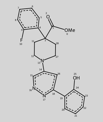 COC(=O)C1(c2ccccc2F)CCN(c2cnnc(-c3ccccc3O)c2)CC1